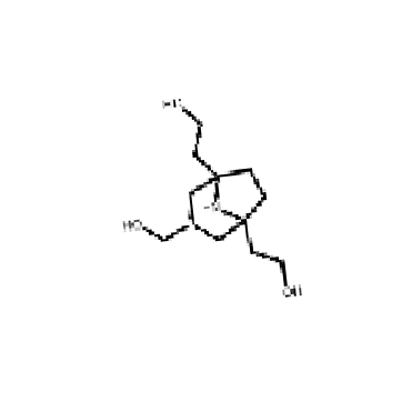 OCCC12CCC(CCO)(CP(CO)C1)N2